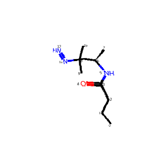 CCCC(=O)N[C@H](C)C(C)(C)N=N